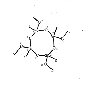 CO[Si]1(C)O[Si](C)(OC)O[Si](C)(OC)O[Si](C)(OC)O1